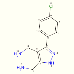 NCc1[nH]nc(-c2ccc(Cl)cc2)c1CN